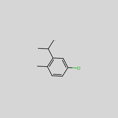 [CH2]C(C)c1cc(Cl)ccc1C